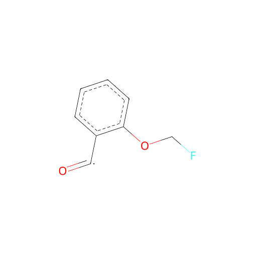 O=[C]c1ccccc1OCF